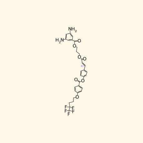 Nc1cc(N)cc(C(=O)OCCCOC(=O)/C=C/c2ccc(OC(=O)c3ccc(OCCCC(F)(F)C(F)(F)F)cc3)cc2)c1